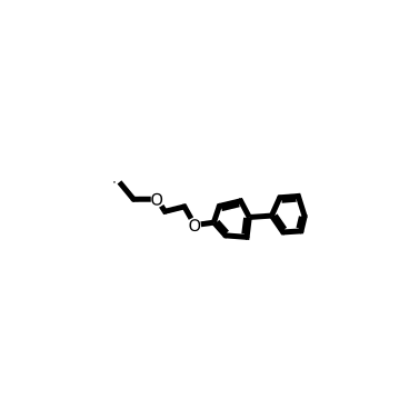 [CH2]COCCOc1ccc(-c2ccccc2)cc1